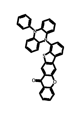 O=c1c2ccccc2oc2cc3c(cc12)sc1c(N2c4ccccc4N(c4ccccc4)c4ccccc42)cccc13